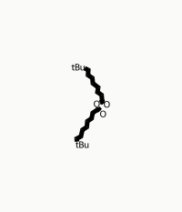 CC(C)(C)CCCCCCCC(=O)OC(=O)CCCCCCCC(C)(C)C